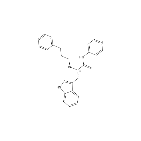 O=C(Nc1ccncc1)[C@H](Cc1c[nH]c2ccccc12)NCCCc1ccccc1